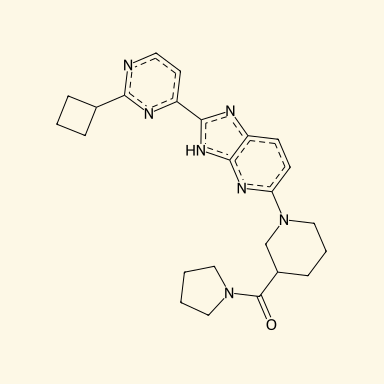 O=C(C1CCCN(c2ccc3nc(-c4ccnc(C5CCC5)n4)[nH]c3n2)C1)N1CCCC1